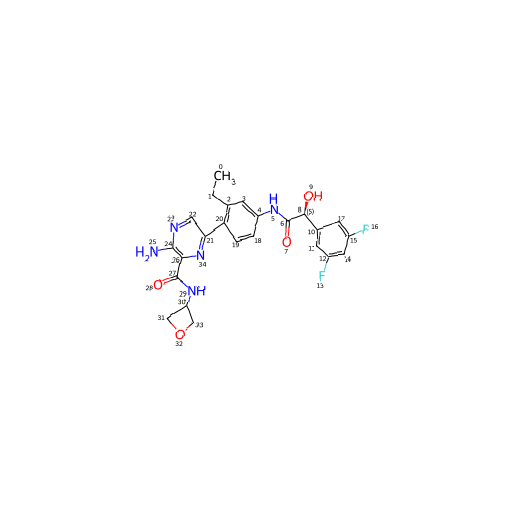 CCc1cc(NC(=O)[C@@H](O)c2cc(F)cc(F)c2)ccc1-c1cnc(N)c(C(=O)NC2COC2)n1